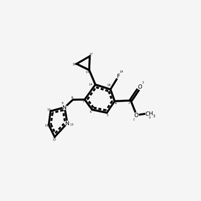 COC(=O)c1ccc(Cn2cccn2)c(C2CC2)c1F